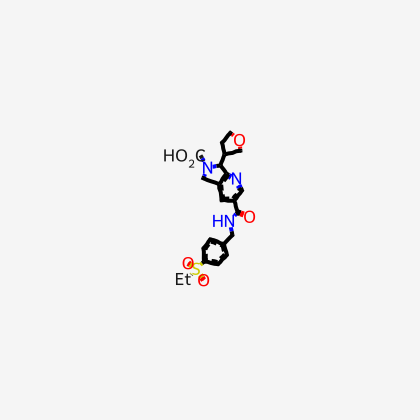 CCS(=O)(=O)c1ccc(CNC(=O)c2cnc3c(c2)CN(C(=O)O)C3C2CCOC2)cc1